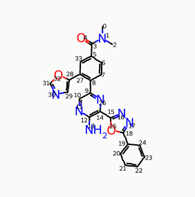 CN(C)C(=O)c1ccc(-c2cnc(N)c(-c3nnc(-c4ccccc4)o3)n2)c(-c2cnco2)c1